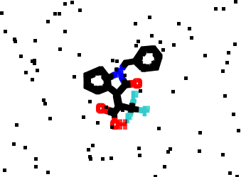 O=C(O)/C(=C1/C(=O)N(Cc2ccccc2)c2ccccc21)C(F)(F)F